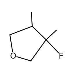 CC1COCC1(C)F